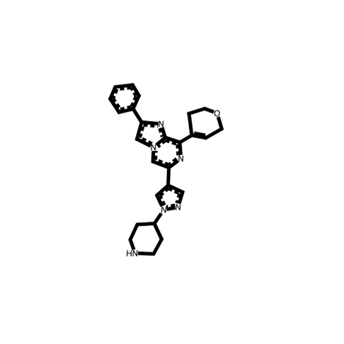 C1=C(c2nc(-c3cnn(C4CCNCC4)c3)cn3cc(-c4ccccc4)nc23)CCOC1